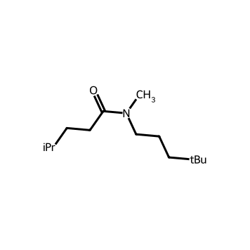 CC(C)CCC(=O)N(C)CCCC(C)(C)C